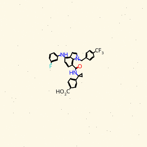 O=C(O)c1ccc(C2(NC(=O)c3ccc(Nc4cccc(F)c4)c4ccn(Cc5ccc(C(F)(F)F)cc5)c34)CC2)cc1